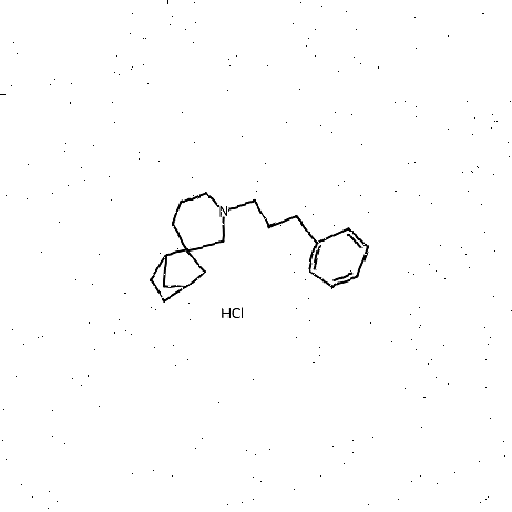 Cl.c1ccc(CCCN2CCCC3(CC4CCC3C4)C2)cc1